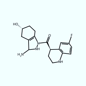 NC1NN(C(=O)[C@@H]2CCNc3ccc(F)cc32)C2=C1C[C@H](O)CC2